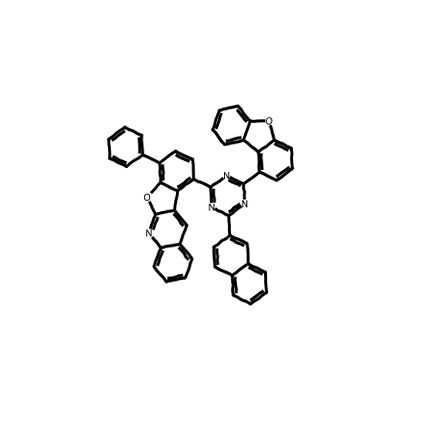 c1ccc(-c2ccc(-c3nc(-c4ccc5ccccc5c4)nc(-c4cccc5oc6ccccc6c45)n3)c3c2oc2nc4ccccc4cc23)cc1